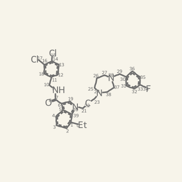 CCc1cccc2c(C(=O)NCc3ccc(Cl)c(Cl)c3)cn(CCCN3CCCN(Cc4ccc(F)cc4)CC3)c12